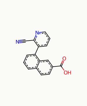 N#Cc1ncccc1-c1cccc2ccc(C(=O)O)cc12